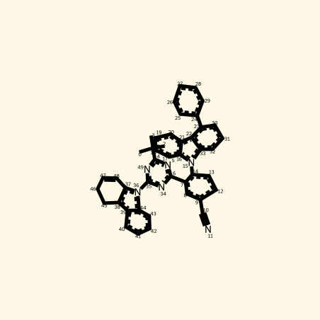 CC(C)(C)c1nc(-c2cc(C#N)ccc2-n2c3ccccc3c3c(-c4ccccc4)cccc32)nc(-n2c3c(c4ccccc42)CCC=C3)n1